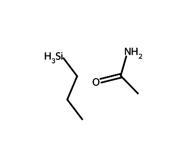 CC(N)=O.CCC[SiH3]